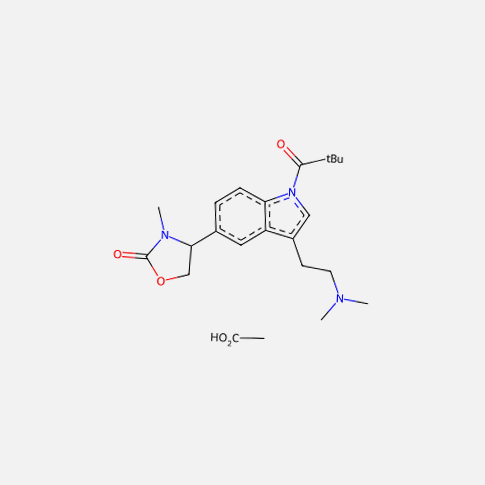 CC(=O)O.CN(C)CCc1cn(C(=O)C(C)(C)C)c2ccc(C3COC(=O)N3C)cc12